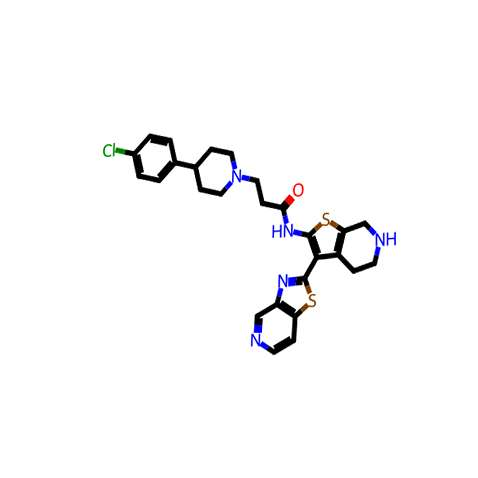 O=C(CCN1CCC(c2ccc(Cl)cc2)CC1)Nc1sc2c(c1-c1nc3cnccc3s1)CCNC2